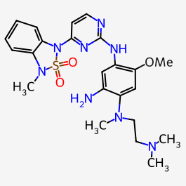 COc1cc(N(C)CCN(C)C)c(N)cc1Nc1nccc(N2c3ccccc3N(C)S2(=O)=O)n1